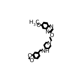 COc1ccc2ncc(OCCN3CCC(NCc4ccc5c(c4)OCO5)CC3)nc2c1